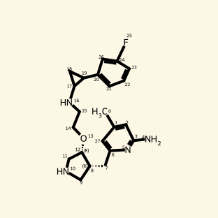 Cc1cc(N)nc(C[C@@H]2CNC[C@@H]2OCCNC2CC2c2cccc(F)c2)c1